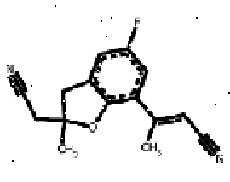 C/C(=C\C#N)c1cc(F)cc2c1OC(C)(CC#N)C2